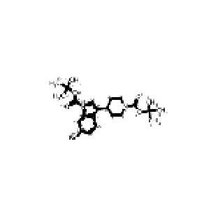 CC(C)(C)OC(=O)N1CCC(c2cn(C(=O)OC(C)(C)C)c3cc(Br)ccc23)CC1